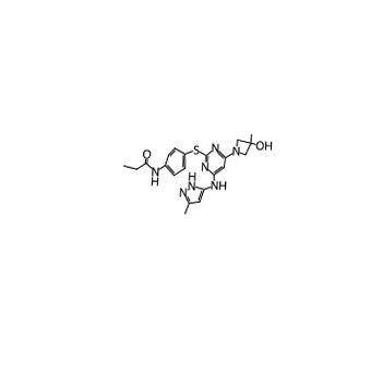 CCC(=O)Nc1ccc(Sc2nc(Nc3cc(C)n[nH]3)cc(N3CC(C)(O)C3)n2)cc1